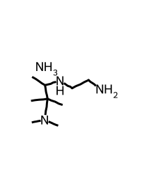 CC(NCCN)C(C)(C)N(C)C.N